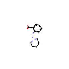 Cl.O=C(O)c1ccccc1NN1CCCCC1